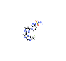 NS(=O)(=O)NC1CCCN(c2ccnc(-c3cnc4cnc(C(F)F)cn34)n2)C1